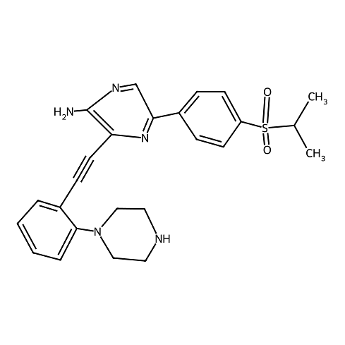 CC(C)S(=O)(=O)c1ccc(-c2cnc(N)c(C#Cc3ccccc3N3CCNCC3)n2)cc1